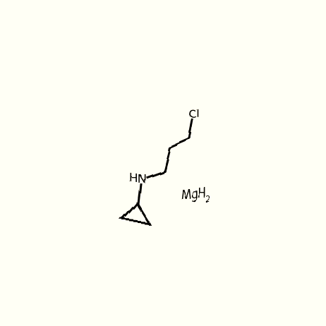 ClCCCNC1CC1.[MgH2]